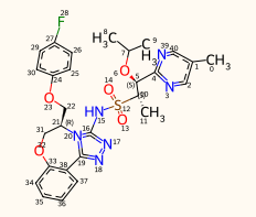 Cc1cnc([C@H](OC(C)C)[C@H](C)S(=O)(=O)Nc2nnc3n2[C@H](COc2ccc(F)cc2)COc2ccccc2-3)nc1